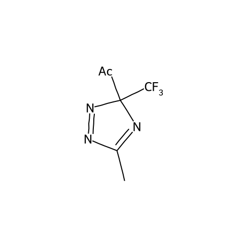 [CH2]C(=O)C1(C(F)(F)F)N=NC(C)=N1